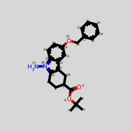 CC(C)(C)OC(=O)C1CCc2c(c3cc(OCc4ccccc4)ccc3n2N)C1